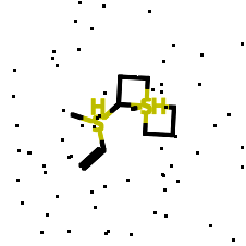 C=C[SH](C)C1CC[SH]12(C)CCC2